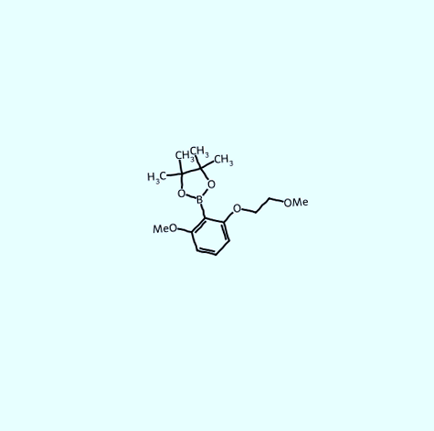 COCCOc1cccc(OC)c1B1OC(C)(C)C(C)(C)O1